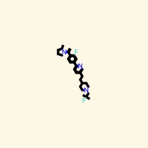 C=C(c1ccc(-c2ccc(CCC3CCN(CC(C)(C)F)CC3)cn2)cc1F)N1CCCC1C